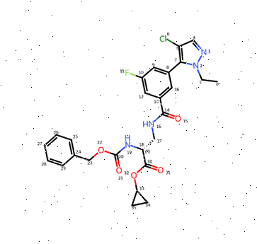 CCn1ncc(Cl)c1-c1cc(F)cc(C(=O)NC[C@@H](NC(=O)OCc2ccccc2)C(=O)OC2CC2)c1